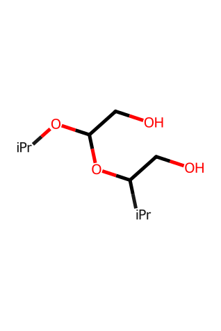 CC(C)OC(CO)OC(CO)C(C)C